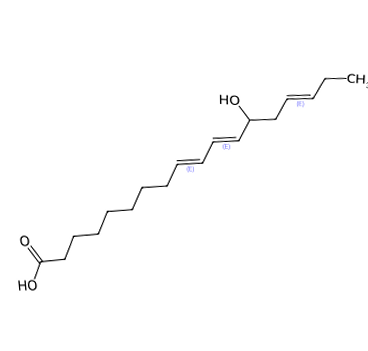 CC/C=C/CC(O)/C=C/C=C/CCCCCCCC(=O)O